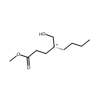 CCCC[C@@H](CO)CCC(=O)OC